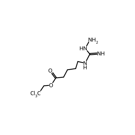 N=C(NN)NCCCCC(=O)OCC(Cl)(Cl)Cl